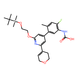 Cc1cc(F)c(NC(=O)O)cc1-c1cc(OCCO[Si](C)(C)C(C)(C)C)nc(C2=CCOCC2)c1